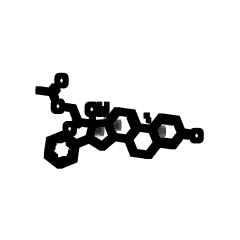 CC(=O)OCC(=O)[C@@]1(O)C(c2ccccc2)CC2C3CCC4=CC(=O)C=C[C@]4(C)C3=CC[C@@]21C